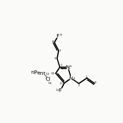 C=CCn1nc(CC=CF)cc1F.CCCCCCl